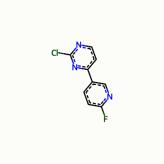 Fc1ccc(-c2ccnc(Cl)n2)cn1